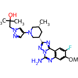 COc1cc2nc(N)n3nc([C@H]4C[C@@H](C)CN(c5cnn(CC(C)(C)O)c5)C4)nc3c2cc1F